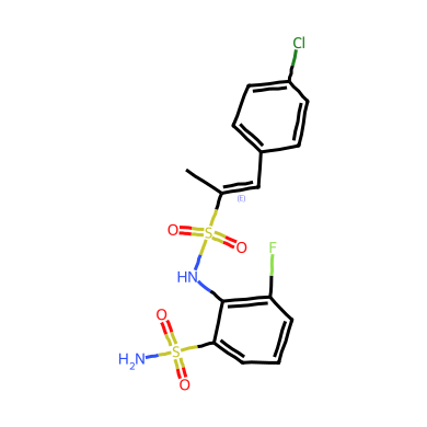 C/C(=C\c1ccc(Cl)cc1)S(=O)(=O)Nc1c(F)cccc1S(N)(=O)=O